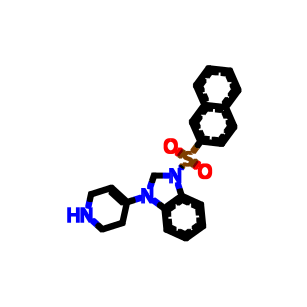 O=S(=O)(c1ccc2ccccc2c1)N1CN(C2=CCNCC2)c2ccccc21